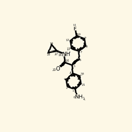 Nc1ccc(C(=Cc2ccc(F)cc2)C(=O)NC2CC2)cc1